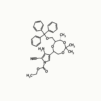 CCOC(=O)n1cc(C2COC(C)(C)O[C@@H](C)C(COC(c3ccccc3)(c3ccccc3)c3ccccc3)O2)c(N)c1C#N